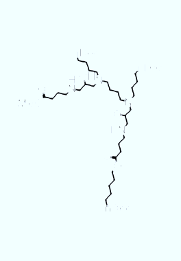 CCCCCCCCCCCCCCCOC(=O)CCCNCC(O)CN(CCCCCCCCCCCCCC)CCCCN(CCCCCCCCCCCCCC)CC(O)CNCCCC(=O)OC